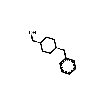 OC[C@H]1CC[C@@H](Cc2ccccc2)CC1